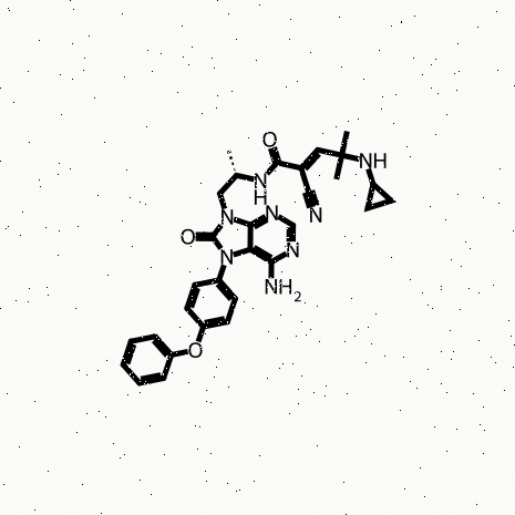 C[C@@H](Cn1c(=O)n(-c2ccc(Oc3ccccc3)cc2)c2c(N)ncnc21)NC(=O)C(C#N)=CC(C)(C)NC1CC1